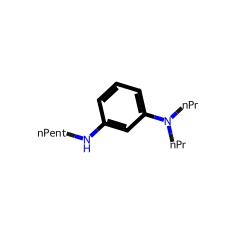 CCCCCNc1cccc(N(CCC)CCC)c1